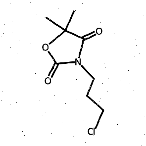 CC1(C)OC(=O)N(CCCCl)C1=O